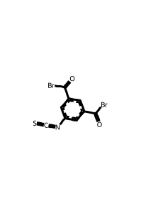 O=C(Br)c1cc(N=C=S)cc(C(=O)Br)c1